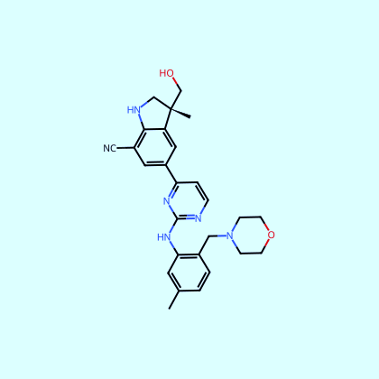 Cc1ccc(CN2CCOCC2)c(Nc2nccc(-c3cc(C#N)c4c(c3)[C@@](C)(CO)CN4)n2)c1